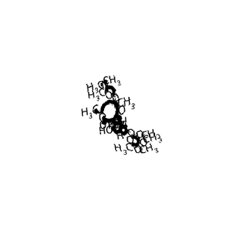 CC[C@H]1CCC[C@H](O[C@H]2CC[C@H](N(C)C)C(C)O2)[C@@H](C)C(=O)C2=C[C@H]3[C@@H]4C[C@H](O[C@@H]5OC(C)[C@H](OC)C(OC)C5OC)C[C@H]4C[C@H](O)[C@H]3[C@@H]2CC(=O)O1